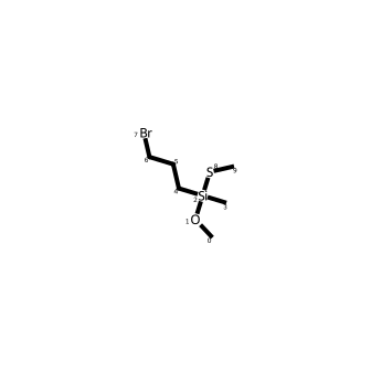 CO[Si](C)(CCCBr)SC